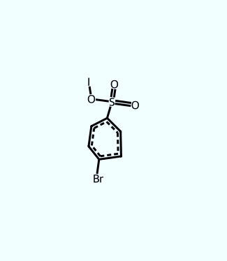 O=S(=O)(OI)c1ccc(Br)cc1